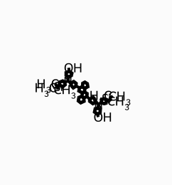 C[Si](C)(C)c1ccc(N(c2ccc(O)cc2)c2ccc(-c3cc4c5ccccc5c(-c5ccc(N(c6ccc(O)cc6)c6ccc([Si](C)(C)C)cc6)cc5)cc4c4ccccc34)cc2)cc1